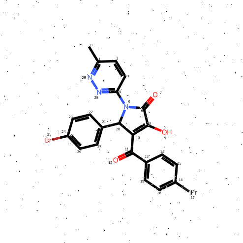 Cc1ccc(N2C(=O)C(O)=C(C(=O)c3ccc(C(C)C)cc3)C2c2ccc(Br)cc2)nn1